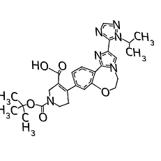 CC(C)n1ncnc1-c1cn2c(n1)-c1ccc(C3=C(C(=O)O)CN(C(=O)OC(C)(C)C)CC3)cc1OCC2